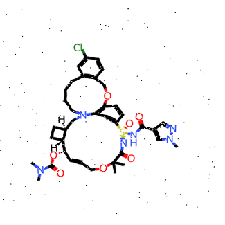 CN(C)C(=O)O[C@H]1/C=C/COC(C)(C)C(=O)N=S(=O)(NC(=O)c2cnn(C)c2)c2ccc3c(c2)N(CCCCc2cc(Cl)ccc2CO3)C[C@@H]2CC[C@H]21